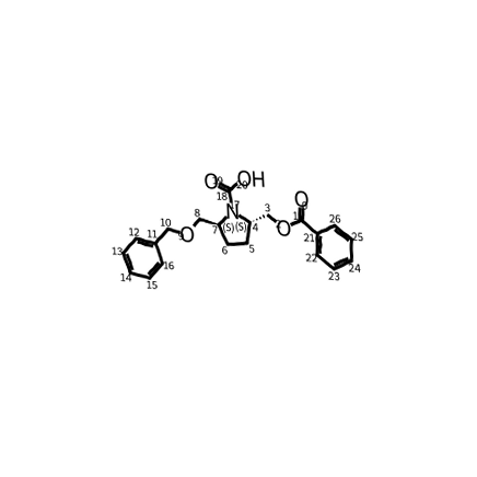 O=C(OC[C@@H]1CC[C@@H](COCc2ccccc2)N1C(=O)O)c1ccccc1